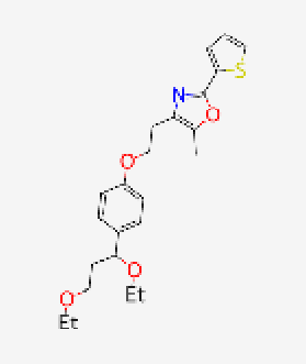 CCOCCC(OCC)c1ccc(OCCc2nc(-c3cccs3)oc2C)cc1